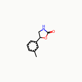 Cc1cccc(C2CNC(=O)O2)c1